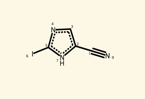 N#Cc1cnc(I)[nH]1